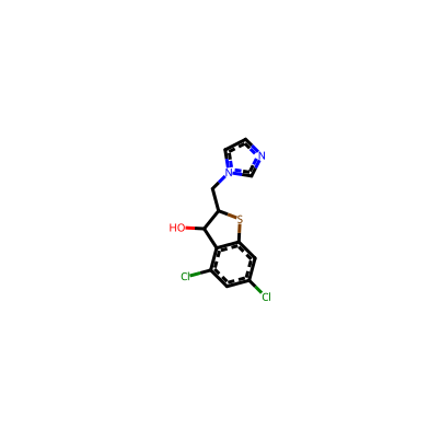 OC1c2c(Cl)cc(Cl)cc2SC1Cn1ccnc1